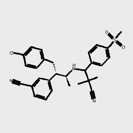 C[C@H](NC(c1ccc(S(C)(=O)=O)cc1)C(C)(C)C#N)[C@@H](Cc1ccc(Cl)cc1)c1cccc(C#N)c1